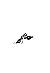 Cc1ccc(CON=C(Cn2cncn2)c2ccc(Cl)cc2Cl)cc1